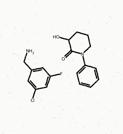 NCc1cc(F)cc(Cl)c1.O=C1C(O)CCCN1c1ccccc1